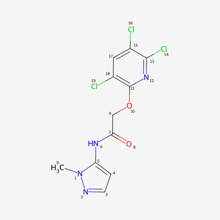 Cn1nccc1NC(=O)COc1nc(Cl)c(Cl)cc1Cl